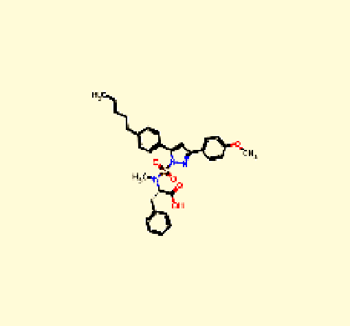 CCCCCc1ccc(-c2cc(-c3ccc(OC)cc3)nn2S(=O)(=O)N(C)[C@@H](Cc2ccccc2)C(=O)O)cc1